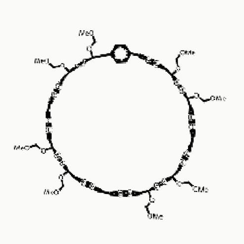 COCOC12CCC(OCOC)(CC1)c1ccc(cc1)-c1ccc(cc1)C1(OCOC)CCC(OCOC)(CC1)c1ccc(cc1)-c1ccc(cc1)C1(OCOC)CCC(OCOC)(CC1)c1ccc(cc1)-c1ccc(cc1)C1(OCOC)CCC(OCOC)(CC1)c1ccc(cc1)-c1ccc2cc1